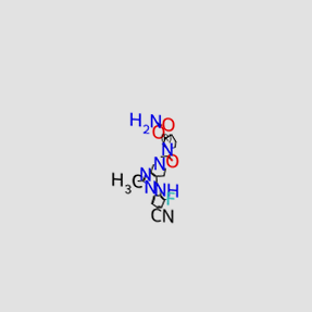 Cc1nc2c(c(Nc3ccc(C#N)cc3F)n1)CCN(CC(=O)N1CCC[C@@H](OC(N)=O)C1)C2